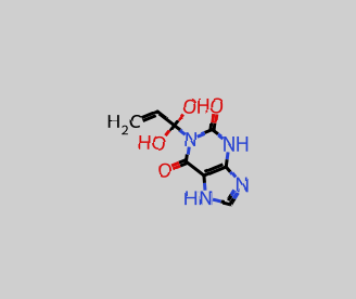 C=CC(O)(O)n1c(=O)[nH]c2nc[nH]c2c1=O